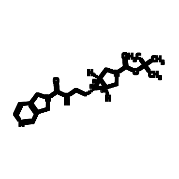 CC(C)(C)OC(=O)N1C[C@@H]2[C@@H](CCNC(=O)N3Cc4ccncc4C3)[C@@H]2C1